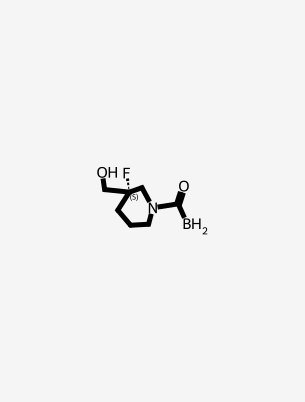 BC(=O)N1CCC[C@@](F)(CO)C1